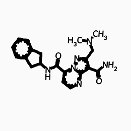 CN(C)Cc1nn2c(C(=O)NC3Cc4ccccc4C3)ccnc2c1C(N)=O